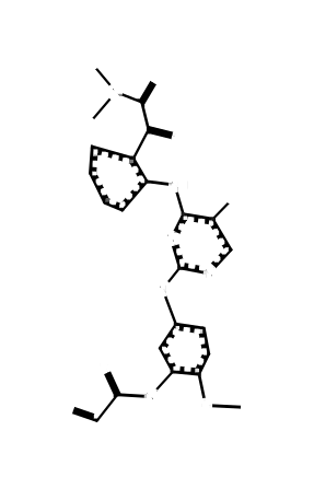 C=CC(=O)Nc1cc(Nc2ncc(Cl)c(Nc3ccccc3C(=O)C(=O)N(C)C)n2)ccc1OC